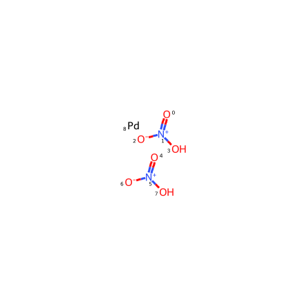 O=[N+]([O-])O.O=[N+]([O-])O.[Pd]